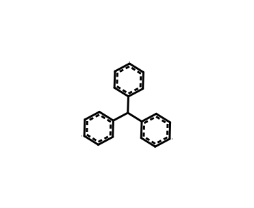 [c]1ccc(C(c2cc[c]cc2)c2cc[c]cc2)cc1